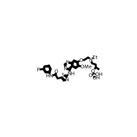 CCN(CCOc1cc2ncnc(Nc3ncc(CC(=O)Nc4cccc(F)c4)s3)c2cc1OC)CCC(C)OP(=O)(O)O